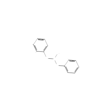 BrP(Oc1ccccc1)Oc1ccccc1